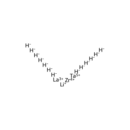 [H-].[H-].[H-].[H-].[H-].[H-].[H-].[H-].[H-].[H-].[H-].[H-].[H-].[La+3].[Li+].[Ta+5].[Zr+4]